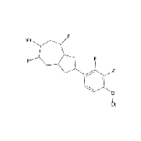 CCCC1CC(F)C2CC(c3ccc(OCC)c(F)c3F)CC2CC1F